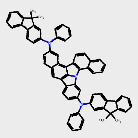 CC1(C)c2ccccc2-c2ccc(N(c3ccccc3)c3ccc4cc5c6ccc(N(c7ccccc7)c7ccc8c(c7)C(C)(C)c7ccccc7-8)cc6n6c7c8ccccc8ccc7c(c4c3)c56)cc21